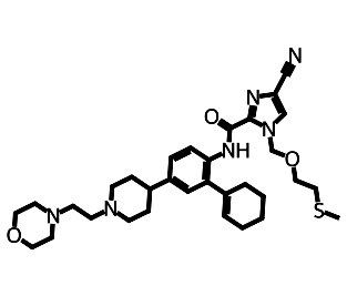 CSCCOCn1cc(C#N)nc1C(=O)Nc1ccc(C2CCN(CCN3CCOCC3)CC2)cc1C1=CCCCC1